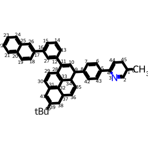 CC1C=NC(c2ccc(C3C=C(c4cccc(-c5ccc6ccccc6c5)c4)c4ccc5c6c4C3C=CC6CC(C(C)(C)C)=C5)cc2)=CC1